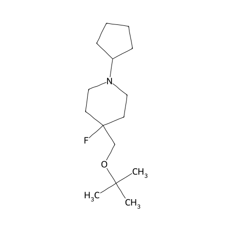 CC(C)(C)OCC1(F)CCN(C2CCCC2)CC1